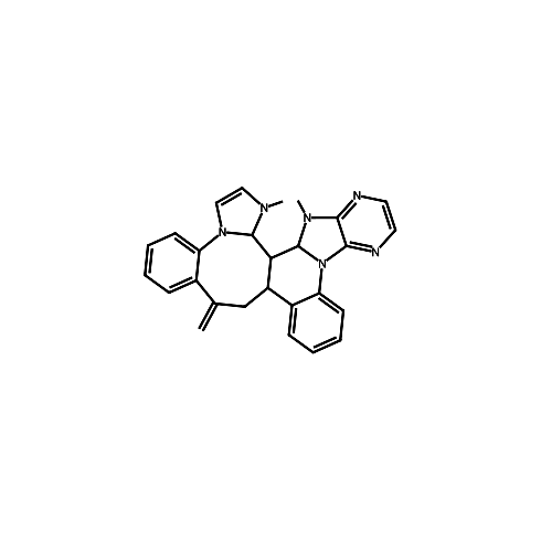 C=C1CC2c3ccccc3N3c4nccnc4N(C)C3C2C2N(C)C=CN2c2ccccc21